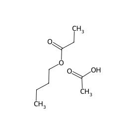 CC(=O)O.CCCCOC(=O)CC